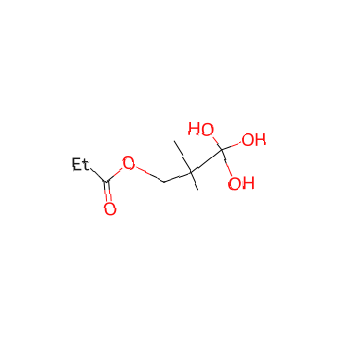 CCC(=O)OCC(C)(C)C(O)(O)O